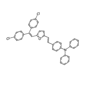 Clc1ccc(C(=Cc2ccc(C=Cc3ccc(N(c4ccccc4)c4ccccc4)cc3)o2)c2ccc(Cl)cc2)cc1